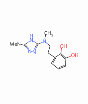 CNc1nnc(N(C)CCc2cccc(O)c2O)[nH]1